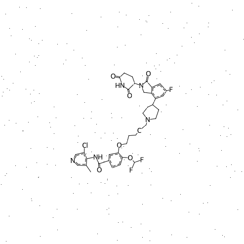 Cc1cncc(Cl)c1NC(=O)c1ccc(OC(F)F)c(OCCCCCN2CCC(c3cc(F)cc4c3CN(C3CCC(=O)NC3=O)C4=O)CC2)c1